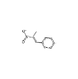 C/C(=C\c1cc[c]cc1)[N+](=O)[O-]